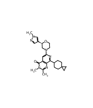 Cc1nc2c(C3CCC4(CC3)CC4)nc(N3CCO[C@H](c4cnn(C)c4)C3)cc2c(=O)n1C